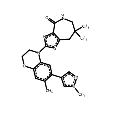 Cc1cc2c(cc1-c1cnn(C)c1)N(c1nc3c(s1)CC(C)(C)CNC3=O)CCO2